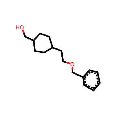 OCC1CCC(CCOCc2ccccc2)CC1